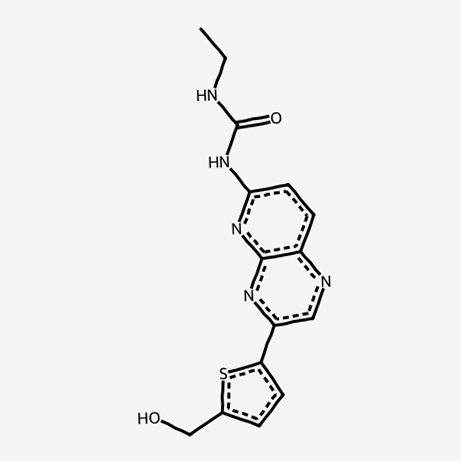 CCNC(=O)Nc1ccc2ncc(-c3ccc(CO)s3)nc2n1